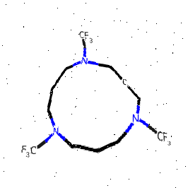 FC(F)(F)N1CCCN(C(F)(F)F)CCCN(C(F)(F)F)CCC1